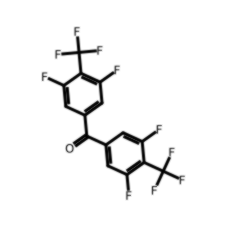 O=C(c1cc(F)c(C(F)(F)F)c(F)c1)c1cc(F)c(C(F)(F)F)c(F)c1